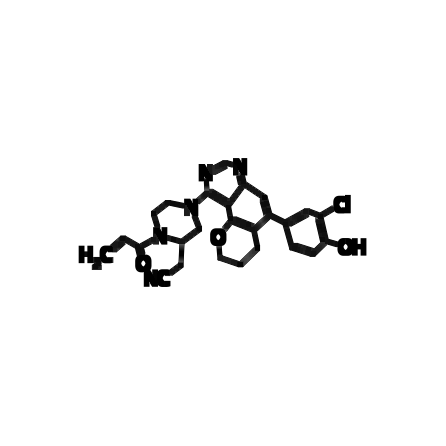 C=CC(=O)N1CCN(c2ncnc3cc(-c4ccc(O)c(Cl)c4)c4c(c23)OCCC4)CC1CC#N